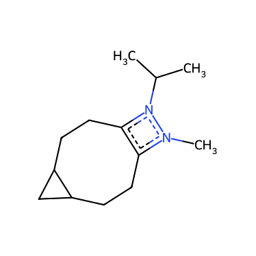 CC(C)n1c2c(n1C)CCC1CC1CC2